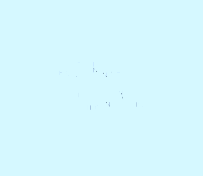 CC[C@@H](C)[C@@H]1NC(C2C(C(F)(F)F)C(C(F)(F)C(F)(F)F)NN2C)N(C)O1